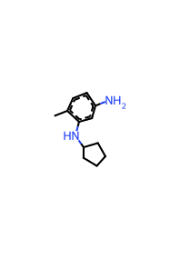 Cc1ccc(N)cc1NC1CCCC1